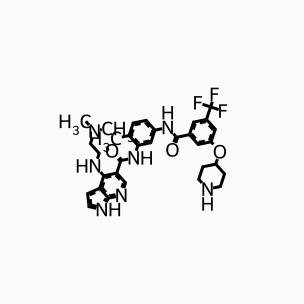 Cc1ccc(NC(=O)c2cc(OC3CCNCC3)cc(C(F)(F)F)c2)cc1NC(=O)c1cnc2[nH]ccc2c1NCCN(C)C